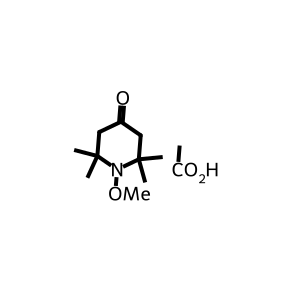 CC(=O)O.CON1C(C)(C)CC(=O)CC1(C)C